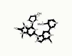 COc1ccncc1-c1cc2c(cnn2-c2cc3c(c(N4CC[C@H](O)C4)n2)n(C)c(=O)n3C)c(C)n1